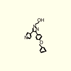 OCCn1cc(-c2ccncc2)c(-c2ccc(OCc3ccccc3)cc2)n1